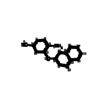 N#Cc1ccc(N)c(Oc2cnc3ccccc3c2)c1